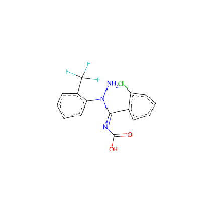 NN(/C(=N/C(=O)O)c1ccccc1Cl)c1ccccc1C(F)(F)F